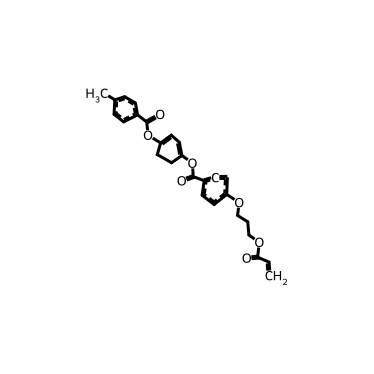 C=CC(=O)OCCCOc1ccc(C(=O)OC2=CC=C(OC(=O)c3ccc(C)cc3)CC2)cc1